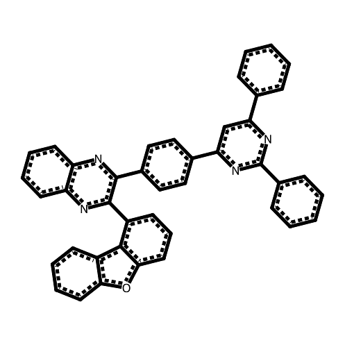 c1ccc(-c2cc(-c3ccc(-c4nc5ccccc5nc4-c4cccc5oc6ccccc6c45)cc3)nc(-c3ccccc3)n2)cc1